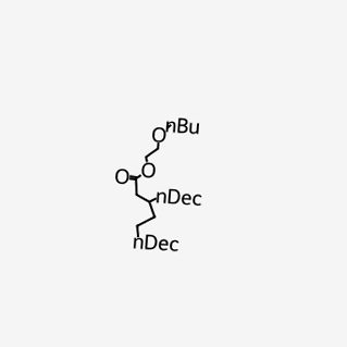 CCCCCCCCCCCCC(CCCCCCCCCC)CC(=O)OCCOCCCC